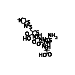 CN1C=Cc2sc(SCC3=C(C(=O)O)N4C(=O)C(NC(=O)/C(=N/OC(C)(C)C(=O)O)N5C=C(N)SN5)[C@H]4SC3)nc2C1